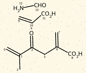 C=C(C)C(=O)CC(=C)C(=O)O.C=CC(=O)O.NC=O